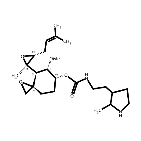 CO[C@@H]1[C@H](OC(=O)NCCC2CCNC2C)CC[C@]2(CO2)[C@H]1[C@@]1(C)O[C@@H]1CC=C(C)C